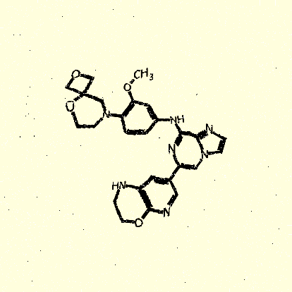 COc1cc(Nc2nc(-c3cnc4c(c3)NCCO4)cn3ccnc23)ccc1N1CCOC2(COC2)C1